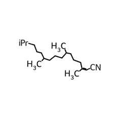 CC(=CC#N)CCCC(C)CCCC(C)CCCC(C)C